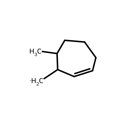 [CH2]C1C=CCCCC1C